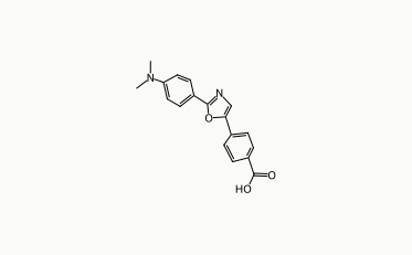 CN(C)c1ccc(-c2ncc(-c3ccc(C(=O)O)cc3)o2)cc1